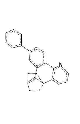 c1ccc(-c2ccc3c(c2)C2=C4CCC2(CC4)c2cccnc2-3)cc1